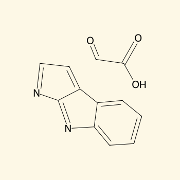 C1=NC2=Nc3ccccc3C2=C1.O=CC(=O)O